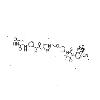 C[C@@H]1CN(CCO[C@H]2CC[C@H](N3C(=S)N(c4ccc(C#N)c(S(F)(F)(F)(F)F)c4)C(=O)C3(C)C)CC2)C[C@H](C)N1CC(=O)Nc1cccc(NC2CCC(=O)NC2=O)c1